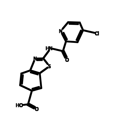 O=C(O)c1ccc2nc(NC(=O)c3cc(Cl)ccn3)sc2c1